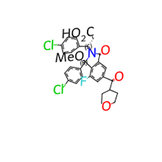 CO[C@]1(c2ccc(Cl)cc2)c2c(F)cc(C(=O)C3CCOCC3)cc2C(=O)N1[C@@H](CC(=O)O)c1ccc(Cl)cc1